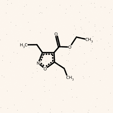 CCOC(=O)c1c(CC)noc1CC